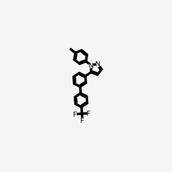 Cc1ccc(-n2nccc2-c2cccc(-c3ccc(C(F)(F)F)cc3)c2)cc1